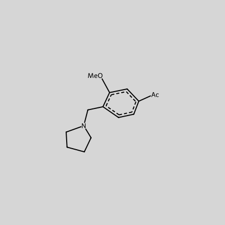 COc1cc(C(C)=O)ccc1CN1CCCC1